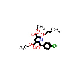 CCCCOc1nc(C(=O)c2ccc(Br)cc2)c(C(=O)OCC)cc1C(=O)OCC